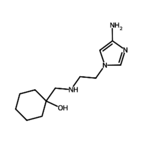 Nc1cn(CCNCC2(O)CCCCC2)cn1